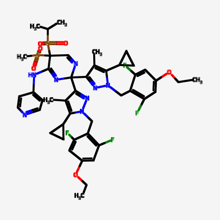 CCOc1cc(F)c(Cn2nc(C3(c4nn(Cc5c(F)cc(OCC)cc5F)c(C5CC5)c4C)N=CC(S(C)(=O)=O)(S(=O)(=O)C(C)C)C(Nc4ccncc4)=N3)c(C)c2C2CC2)c(F)c1